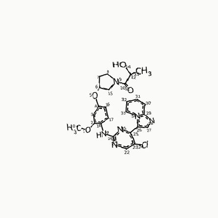 COc1cc(O[C@@H]2CCN(C(=O)C(C)O)C2)ccc1Nc1ncc(Cl)c(-c2cnc3ccccn23)n1